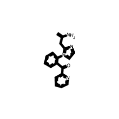 C=C(N)Cc1nccn1-c1ccccc1C(=O)c1ccccn1